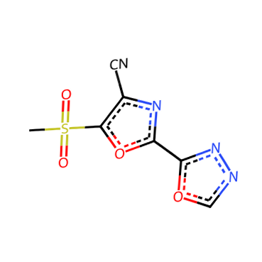 CS(=O)(=O)c1oc(-c2nnco2)nc1C#N